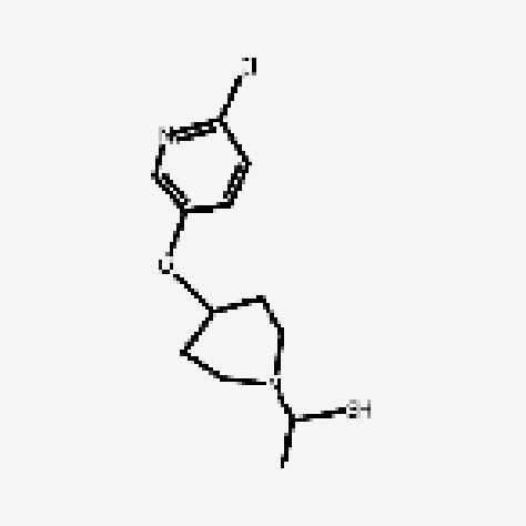 CC(S)N1CCC(Oc2ccc(Cl)nc2)CC1